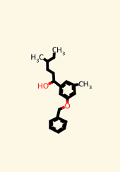 CCC(C)CCC(O)c1cc(C)cc(OCc2ccccc2)c1